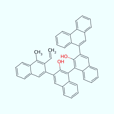 C=Cc1c(-c2cc3ccccc3c(-c3c(O)c(-c4cc5ccccc5c5ccccc45)cc4ccccc34)c2O)cc2ccccc2c1C